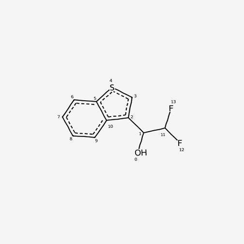 OC(c1csc2ccccc12)C(F)F